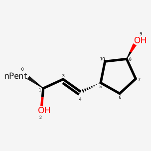 CCCCC[C@H](O)/C=C/[C@H]1CC[C@H](O)C1